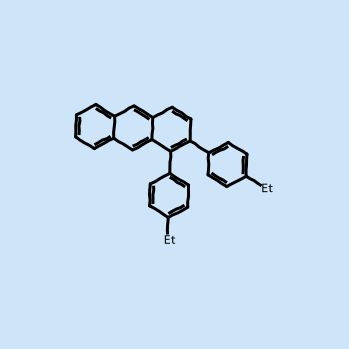 CCc1ccc(-c2ccc3cc4ccccc4cc3c2-c2ccc(CC)cc2)cc1